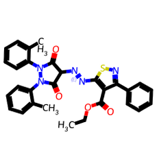 CCOC(=O)c1c(-c2ccccc2)nsc1/N=N/C1C(=O)N(c2ccccc2C)N(c2ccccc2C)C1=O